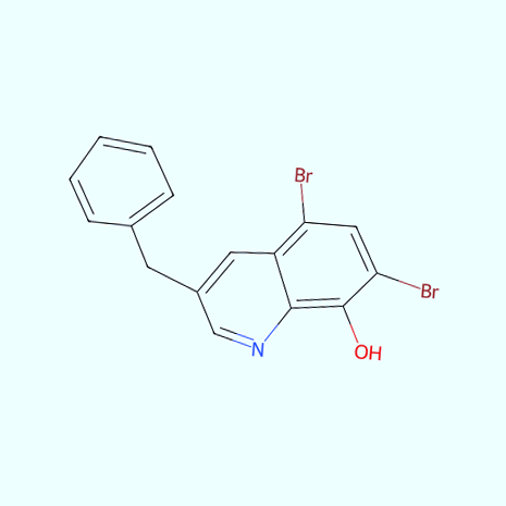 Oc1c(Br)cc(Br)c2cc(Cc3ccccc3)cnc12